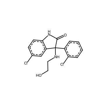 O=C1Nc2ccc(Cl)cc2C1(NCCO)c1ccccc1Cl